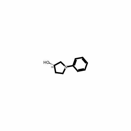 O[C@H]1CCN(c2[c]cccc2)C1